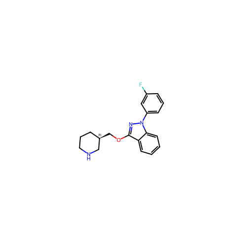 Fc1cccc(-n2nc(OC[C@@H]3CCCNC3)c3ccccc32)c1